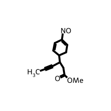 CC#CC(CC(=O)OC)C1C=CC(N=O)=CC1